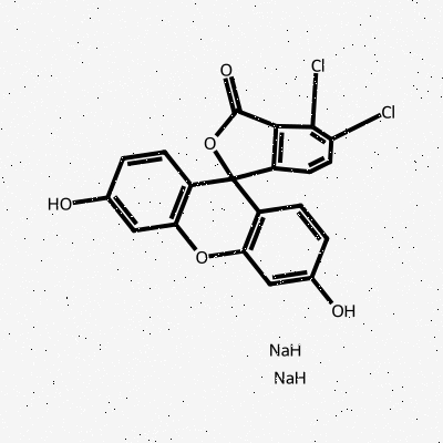 O=C1OC2(c3ccc(O)cc3Oc3cc(O)ccc32)c2ccc(Cl)c(Cl)c21.[NaH].[NaH]